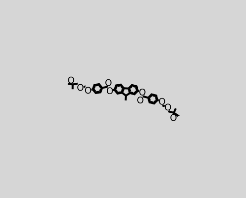 CC1c2cc(OC(=O)c3ccc(OCOCC4(C)CO4)cc3)ccc2-c2ccc(OC(=O)c3ccc(OCOCC4(C)CO4)cc3)cc21